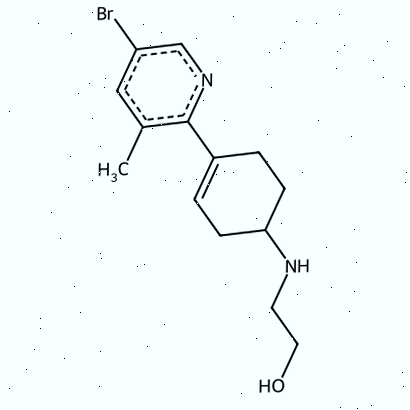 Cc1cc(Br)cnc1C1=CCC(NCCO)CC1